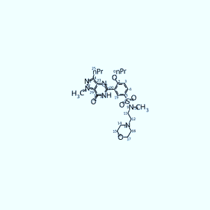 CCCOc1ccc(S(=O)(=O)N(C)CCN2CCOCC2)cc1-c1nc2c(CCC)nn(C)c2c(=O)[nH]1